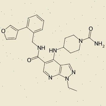 CCn1ncc2c(NC3CCN(C(N)=O)CC3)c(C(=O)NCc3ccccc3-c3ccoc3)cnc21